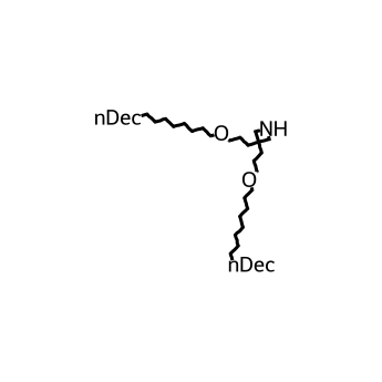 CCCCCCCCCCCCCCCCCCOCCCC1(CCCOCCCCCCCCCCCCCCCCCC)CNC1